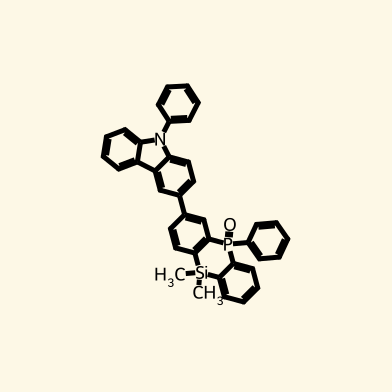 C[Si]1(C)c2ccccc2P(=O)(c2ccccc2)c2cc(-c3ccc4c(c3)c3ccccc3n4-c3ccccc3)ccc21